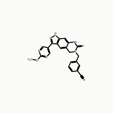 COc1ncc(-c2n[nH]c3cc4c(cc23)CN(Cc2cccc(C#N)c2)C(=O)N4)cn1